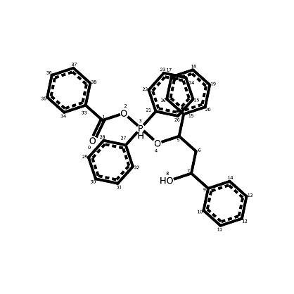 O=C(O[PH](OC(CC(O)c1ccccc1)c1ccccc1)(c1ccccc1)c1ccccc1)c1ccccc1